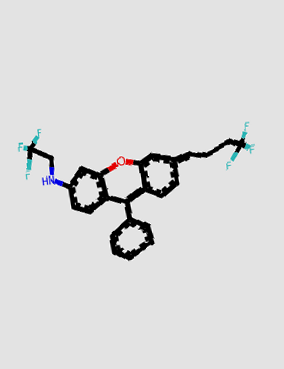 FC(F)(F)CC/C=c1\ccc2c(c1)Oc1cc(NCC(F)(F)F)ccc1C=2c1ccccc1